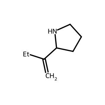 C=C(CC)C1CCCN1